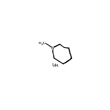 CN1CCCCC1.[LiH]